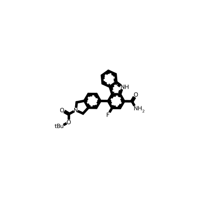 CC(C)(C)OC(=O)N1Cc2ccc(-c3c(F)cc(C(N)=O)c4[nH]c5ccccc5c34)cc2C1